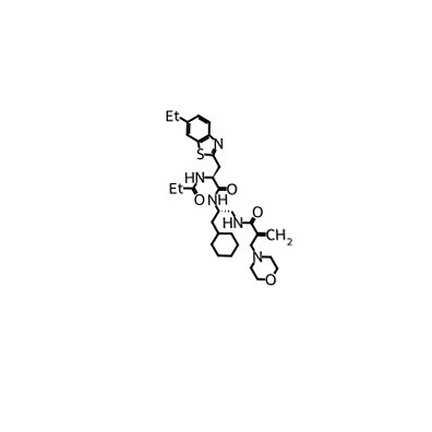 C=C(CN1CCOCC1)C(=O)NC[C@H](CC1CCCCC1)NC(=O)[C@H](Cc1nc2ccc(CC)cc2s1)NC(=O)CC